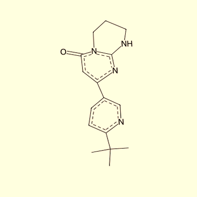 CC(C)(C)c1ccc(-c2cc(=O)n3c(n2)NCCC3)cn1